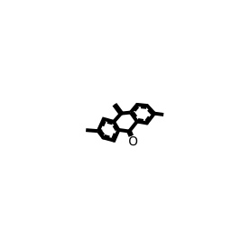 C=C1c2cc(C)ccc2C(=O)c2cc(C)ccc21